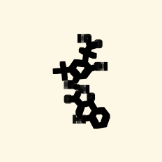 CC(C)(C)c1cc(C(C)(C)C(=O)O)c(O)cc1NNC(=O)c1c[nH]c2ccccc2c1=O